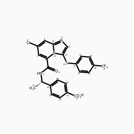 C[C@H](NC(=O)c1cc(Cl)cc2ncc(Sc3ccc(C(F)(F)F)cc3)n12)c1ccc(C(=O)O)cc1